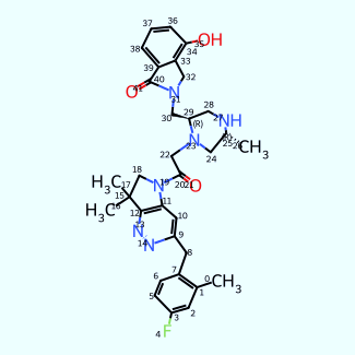 Cc1cc(F)ccc1Cc1cc2c(nn1)C(C)(C)CN2C(=O)CN1C[C@@H](C)NC[C@@H]1CN1Cc2c(O)cccc2C1=O